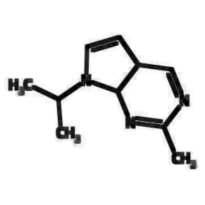 CC1=NC2C(C=CN2C(C)C)C=N1